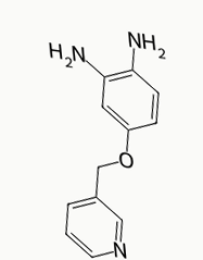 Nc1ccc(OCc2cccnc2)cc1N